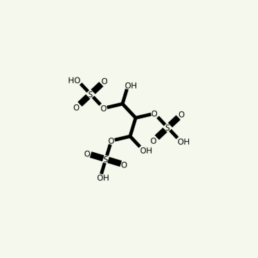 O=S(=O)(O)OC(O)C(OS(=O)(=O)O)C(O)OS(=O)(=O)O